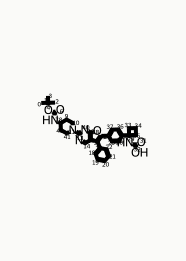 CC(C)(C)OC(=O)NC1CCN(c2ncc3c(-c4ccccc4)c(-c4ccc(C5(NC(=O)O)CCC5)cc4)oc3n2)CC1